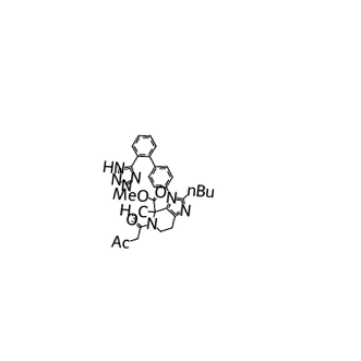 CCCCc1nc2c(n1-c1ccc(-c3ccccc3-c3nnn[nH]3)cc1)C(C)(C(=O)OC)N(C(=O)CC(C)=O)CC2